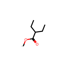 [CH]OC(=O)C(CC)CC